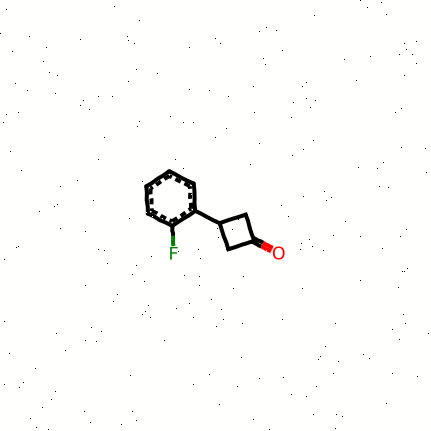 O=C1CC(c2ccccc2F)C1